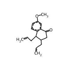 C=CCC1CC(=O)c2cc(OC)ccc2C1CC=C